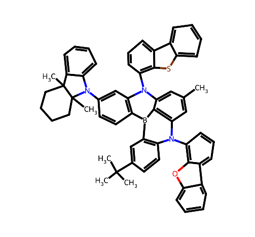 Cc1cc2c3c(c1)N(c1cccc4c1sc1ccccc14)c1cc(N4c5ccccc5C5(C)CCCCC45C)ccc1B3c1cc(C(C)(C)C)ccc1N2c1cccc2c1oc1ccccc12